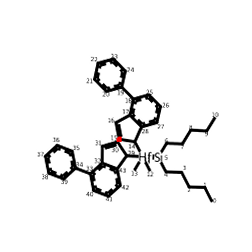 CCCCC[Si](CCCCC)=[Hf]([CH3])([CH3])([CH]1C=Cc2c(-c3ccccc3)cccc21)[CH]1C=Cc2c(-c3ccccc3)cccc21